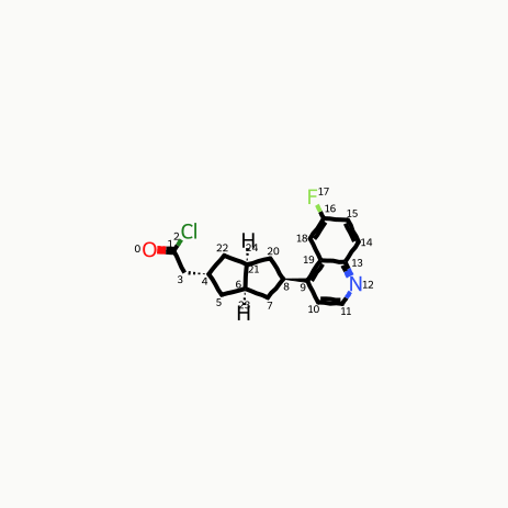 O=C(Cl)C[C@H]1C[C@@H]2C[C@H](c3ccnc4ccc(F)cc34)C[C@@H]2C1